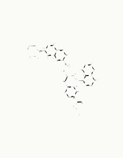 O=C(NO)c1ccc(C=C(CNc2ccc3ccc(N4CCOCC4)cc3c2)COc2cccc3ccccc23)cc1